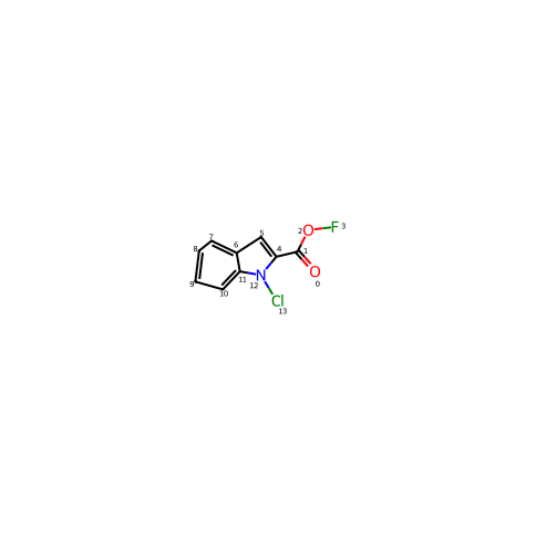 O=C(OF)c1cc2ccccc2n1Cl